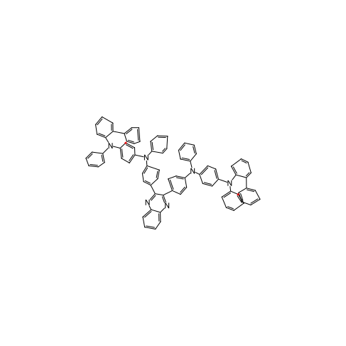 c1ccc(-c2ccccc2N(c2ccccc2)c2ccc(N(c3ccccc3)c3ccc(-c4nc5ccccc5nc4-c4ccc(N(c5ccccc5)c5ccc(N(c6ccccc6)c6ccccc6-c6ccccc6)cc5)cc4)cc3)cc2)cc1